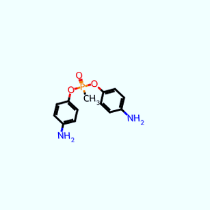 CP(=O)(Oc1ccc(N)cc1)Oc1ccc(N)cc1